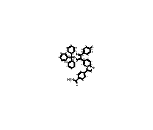 NC(=O)c1ccc(-c2cnc3ccc(-c4cn(C(c5ccccc5)(c5ccccc5)C5C=CC=CC5)nc4-c4ccc(F)cc4)cn23)cc1